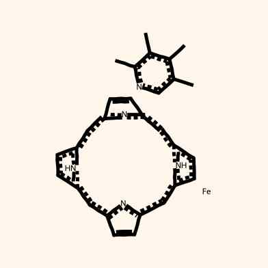 C1=Cc2cc3ccc(cc4nc(cc5ccc(cc1n2)[nH]5)C=C4)[nH]3.Cc1cnc(C)c(C)c1C.[Fe]